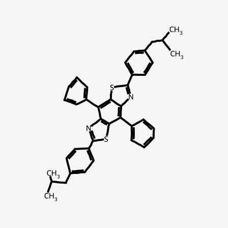 CC(C)Cc1ccc(-c2nc3c(-c4ccccc4)c4sc(-c5ccc(CC(C)C)cc5)nc4c(-c4ccccc4)c3s2)cc1